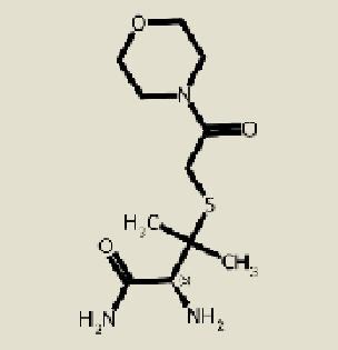 CC(C)(SCC(=O)N1CCOCC1)[C@@H](N)C(N)=O